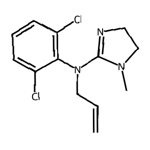 C=CCN(C1=NCCN1C)c1c(Cl)cccc1Cl